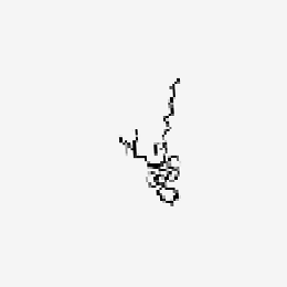 CCCCCCCCCOC(=O)/C(=C\C=C\N(CC)CC)S(=O)(=O)c1ccccc1